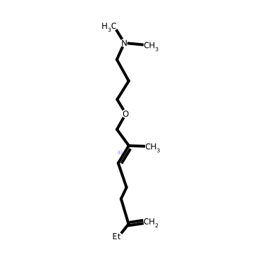 C=C(CC)CC/C=C(\C)COCCCN(C)C